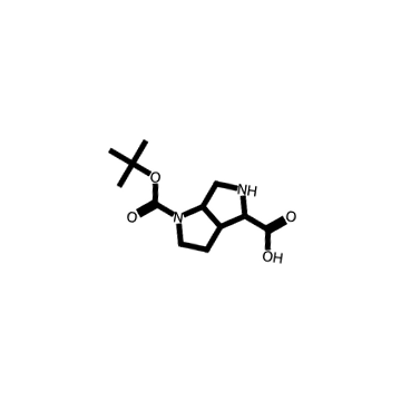 CC(C)(C)OC(=O)N1CCC2C(C(=O)O)NCC21